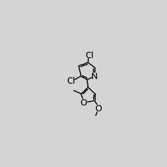 COc1cc(-c2ncc(Cl)cc2Cl)c(C)o1